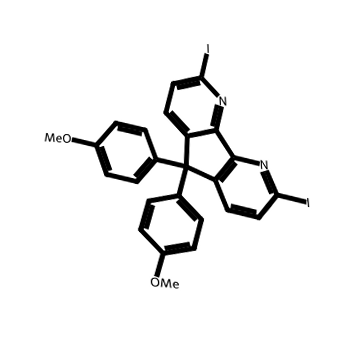 COc1ccc(C2(c3ccc(OC)cc3)c3ccc(I)nc3-c3nc(I)ccc32)cc1